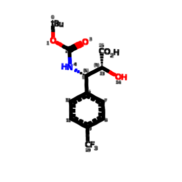 CC(C)(C)OC(=O)N[C@@H](c1ccc(C(F)(F)F)cc1)[C@@H](O)C(=O)O